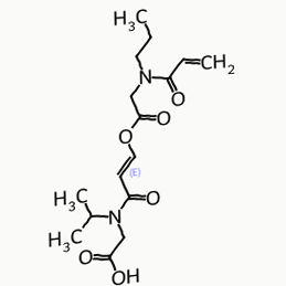 C=CC(=O)N(CCC)CC(=O)O/C=C/C(=O)N(CC(=O)O)C(C)C